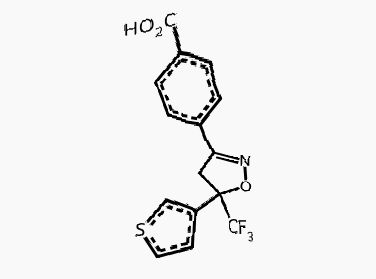 O=C(O)c1ccc(C2=NOC(c3ccsc3)(C(F)(F)F)C2)cc1